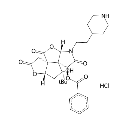 CC(C)(C)[C@]1(O)C[C@@H]2OC(=O)C[C@@]23C(=O)O[C@@H]2N(CCC4CCNCC4)C(=O)[C@@H](OC(=O)c4ccccc4)[C@]213.Cl